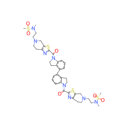 CN(CCN1CCc2nc(C(=O)N3CCc4c(-c5cccc6c5CCN6C(=O)c5nc6c(s5)CN(CCN(C)S(C)(=O)=O)CC6)cccc43)sc2C1)S(C)(=O)=O